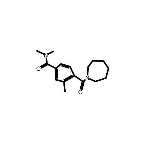 Cc1cc(C(=O)N(C)C)ccc1C(=O)N1CCCCCC1